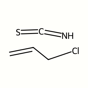 C=CCCl.N=C=S